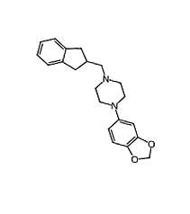 c1ccc2c(c1)CC(CN1CCN(c3ccc4c(c3)OCO4)CC1)C2